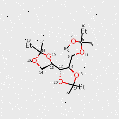 CCC1(C)O[C@H]([C@@H]2COC(C)(CC)O2)[C@@H]([C@H]2COC(C)(CC)O2)O1